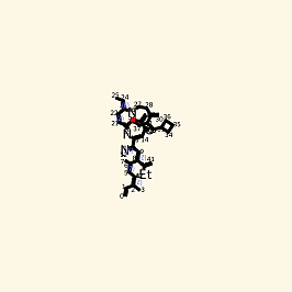 C=C\C(C)=C/C=C(C)\C(=C/C(=N\C)C1=CC(=O)C(=C)CC(/C=C\C(=C/C)N2CCC(=C)C(CC3CCC3)CC2)=N1)C(=C)CC